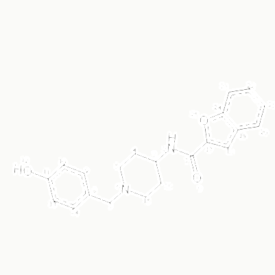 O=C(NC1CCN(Cc2ccc(O)cc2)CC1)c1cc2ccccc2o1